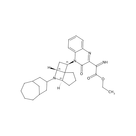 CCOC(=O)C(=N)c1nc2ccccc2n([C@@H]2C[C@H]3N(C4CC5CCCCC(C5)C4)[C@@H]4CCCC432)c1=O